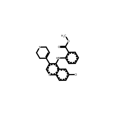 COC(=O)c1ccccc1Nc1c(C2=CCSCC2)cnc2ccc(Cl)cc12